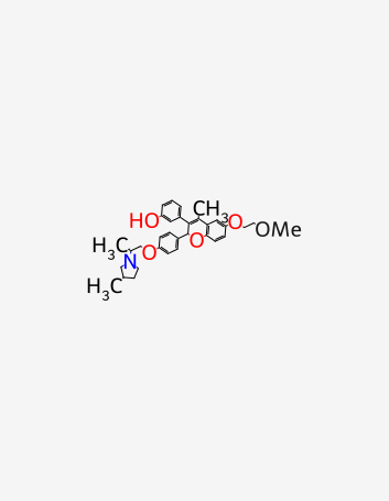 COCCOc1ccc2c(c1)C(C)=C(c1cccc(O)c1)C(c1ccc(OC[C@H](C)N3CC[C@@H](C)C3)cc1)O2